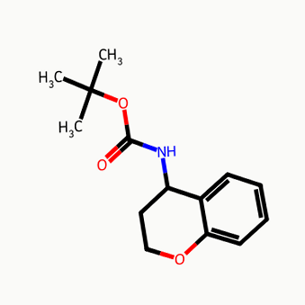 CC(C)(C)OC(=O)NC1CCOc2ccccc21